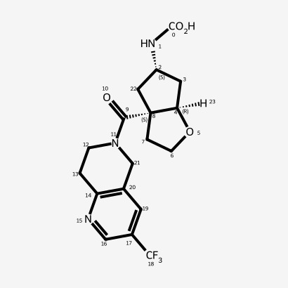 O=C(O)N[C@@H]1C[C@H]2OCC[C@@]2(C(=O)N2CCc3ncc(C(F)(F)F)cc3C2)C1